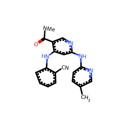 CNC(=O)c1cnc(Nc2ccc(C)cn2)cc1Nc1ccccc1C#N